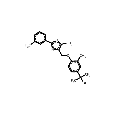 Cc1cc(C(O)(C(F)(F)F)C(F)(F)F)ccc1OCc1nc(-c2cccc(C(F)(F)F)c2)oc1C